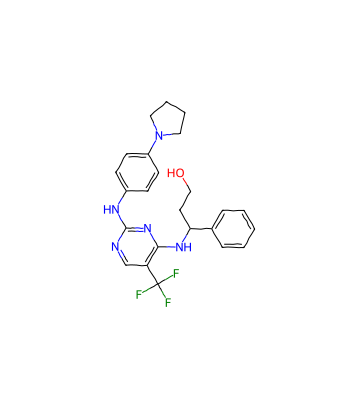 OCCC(Nc1nc(Nc2ccc(N3CCCC3)cc2)ncc1C(F)(F)F)c1ccccc1